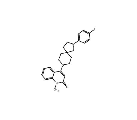 Cn1c(=O)cc(N2CCC3(CCN(c4ccc(F)cc4)C3)CC2)c2ccccc21